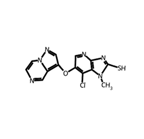 Cn1c(S)nc2ncc(Oc3cnn4ccncc34)c(Cl)c21